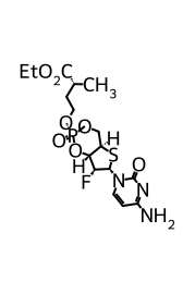 CCOC(=O)[C@H](C)CCO[P@]1(=O)OC[C@H]2S[C@@H](n3ccc(N)nc3=O)[C@@H](F)[C@@H]2O1